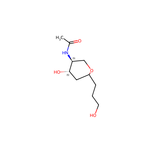 CC(=O)N[C@H]1COC(CCCO)C[C@@H]1O